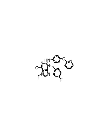 CCn1cnc2c1c(=O)nc(Nc1ccc(Oc3ccccn3)cc1)n2Cc1ccc(F)cc1